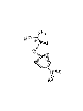 C[C@H](O)C(=O)Oc1ccc([N+](=O)[O-])cc1